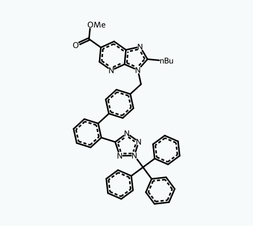 CCCCc1nc2cc(C(=O)OC)cnc2n1Cc1ccc(-c2ccccc2-c2nnn(C(c3ccccc3)(c3ccccc3)c3ccccc3)n2)cc1